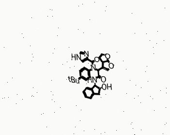 CC(C)(C)c1ccc(N(C(=O)c2c[nH]cn2)C(C(=O)N[C@@H]2c3ccccc3C[C@@H]2O)C2COC3OCCC32)cc1